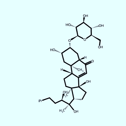 CC(C)CC[C@@H](O)[C@](C)(O)[C@H]1CC[C@@]2(O)C3=CC(=O)[C@H]4C[C@@H](O[C@@H]5O[C@H](CO)[C@@H](O)[C@H](O)[C@H]5O)[C@@H](O)C[C@]4(C)[C@H]3CC[C@]12C